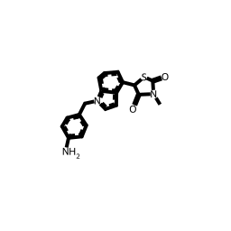 CN1C(=O)SC(c2cccc3c2ccn3Cc2ccc(N)cc2)C1=O